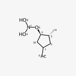 CC(=O)C1C[C@@H](C)[C@H](ON(O)O)C1